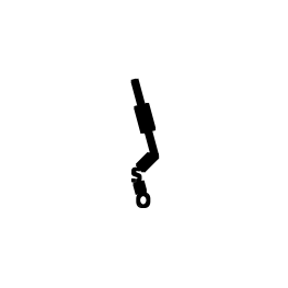 CC#CC=S=O